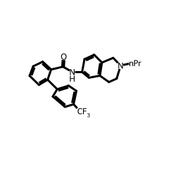 CCCN1CCc2cc(NC(=O)c3ccccc3-c3ccc(C(F)(F)F)cc3)ccc2C1